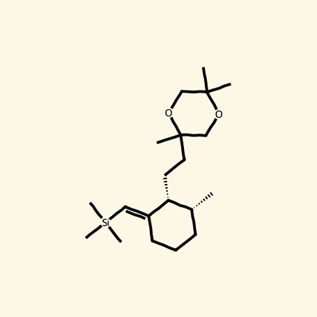 C[C@@H]1CCC/C(=C\[Si](C)(C)C)[C@@H]1CCC1(C)COC(C)(C)CO1